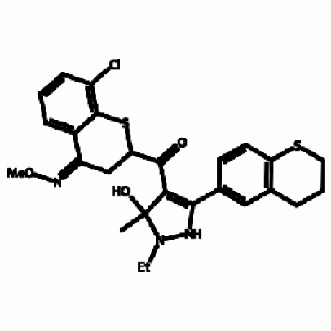 CCN1NC(c2ccc3c(c2)CCCS3)=C(C(=O)C2CC(=NOC)c3cccc(Cl)c3S2)C1(C)O